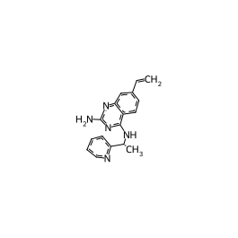 C=Cc1ccc2c(N[C@H](C)c3ccccn3)nc(N)nc2c1